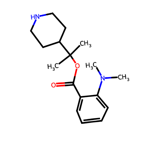 CN(C)c1ccccc1C(=O)OC(C)(C)C1CCNCC1